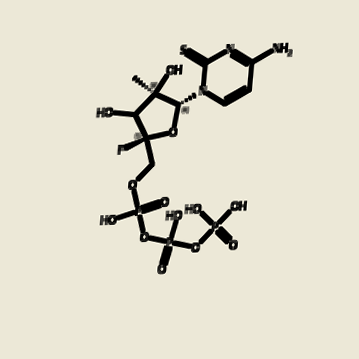 C[C@@]1(O)C(O)[C@@](F)(COP(=O)(O)OP(=O)(O)OP(=O)(O)O)O[C@H]1n1ccc(N)nc1=S